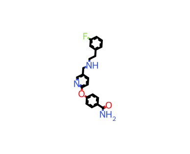 NC(=O)c1ccc(Oc2ccc(CNCCc3cccc(F)c3)cn2)cc1